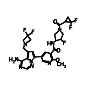 COc1ncc(-c2cc(CN3CC(F)(F)C3)c3c(N)ncnn23)cc1C(=O)NC1CN(C(=O)C2CC2(F)F)CC1F